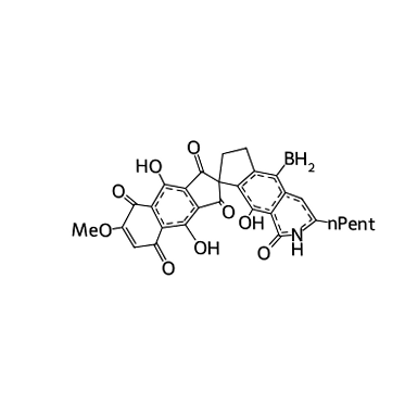 Bc1c2c(c(O)c3c(=O)[nH]c(CCCCC)cc13)C1(CC2)C(=O)c2c(O)c3c(c(O)c2C1=O)C(=O)C(OC)=CC3=O